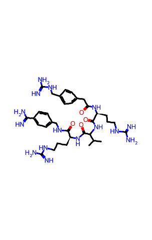 CC(C)C(NC(=O)[C@H](CCCNC(=N)N)NC(=O)Cc1ccc(CNC(=N)N)cc1)C(=O)N[C@@H](CCCNC(=N)N)C(=O)NCc1ccc(C(=N)N)cc1